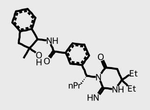 CCC[C@H](c1cccc(C(=O)NC2c3ccccc3CC2(C)O)c1)N1C(=N)NC(CC)(CC)CC1=O